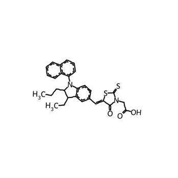 CCCC1C(CC)c2cc(/C=C3\SC(=S)N(CC(=O)O)C3=O)ccc2N1c1cccc2ccccc12